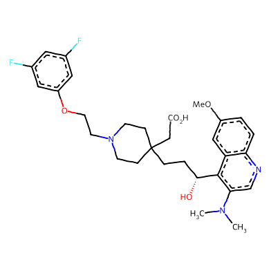 COc1ccc2ncc(N(C)C)c([C@H](O)CCC3(CC(=O)O)CCN(CCOc4cc(F)cc(F)c4)CC3)c2c1